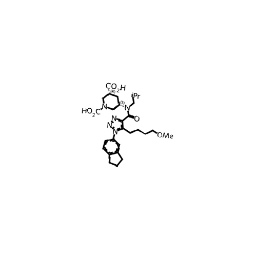 COCCCCc1c(C(=O)N(CC(C)C)[C@H]2C[C@@H](C(=O)O)CN(C(=O)O)C2)nnn1-c1ccc2c(c1)CCC2